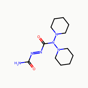 NC(=O)N=NC(=O)N(N1CCCCC1)N1CCCCC1